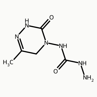 CC1=NNC(=O)N(NC(=O)NN)C1